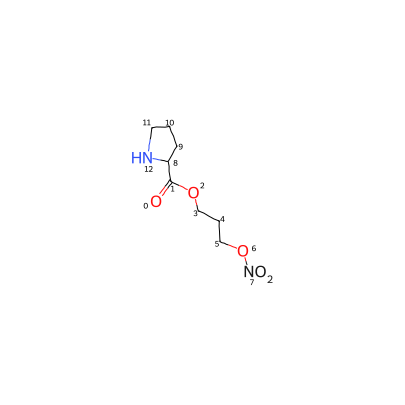 O=C(OCCCO[N+](=O)[O-])C1CCCN1